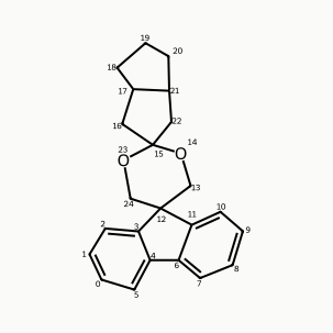 c1ccc2c(c1)-c1ccccc1C21COC2(CC3CCCC3C2)OC1